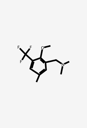 COc1c(CN(C)C)cc(C)cc1C(F)(F)F